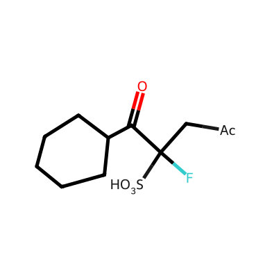 CC(=O)CC(F)(C(=O)C1CCCCC1)S(=O)(=O)O